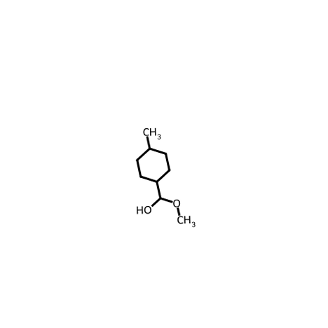 COC(O)C1CCC(C)CC1